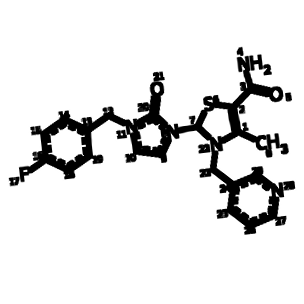 CC1=C(C(N)=O)SC(n2ccn(Cc3ccc(F)cc3)c2=O)N1Cc1cccnc1